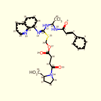 O=C(/C=C/c1ccccc1)NC(N/C(=N\c1cccc2cccnc12)SCOC(=O)CCC(=O)N1CCC[C@H]1C(=O)O)C(Cl)(Cl)Cl